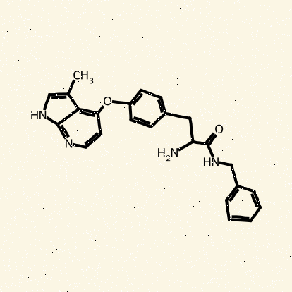 Cc1c[nH]c2nccc(Oc3ccc(CC(N)C(=O)NCc4ccccc4)cc3)c12